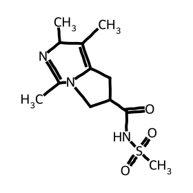 CC1=NC(C)C(C)=C2CC(C(=O)NS(C)(=O)=O)CN12